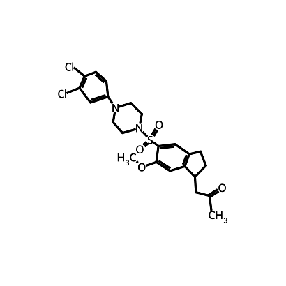 COc1cc2c(cc1S(=O)(=O)N1CCN(c3ccc(Cl)c(Cl)c3)CC1)CCC2CC(C)=O